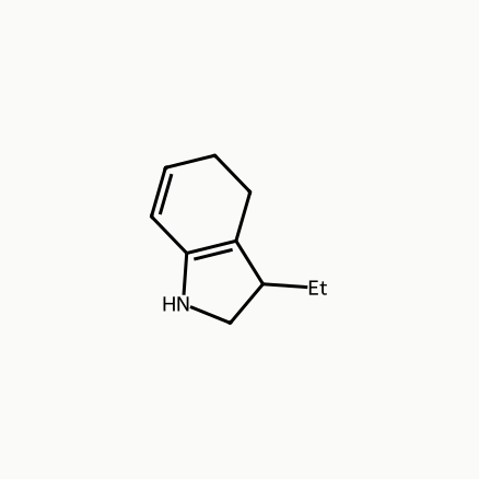 CCC1CNC2=C1CCC=C2